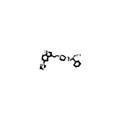 OC[C@H](NC[C@@H]1CCN(CCc2c[nH]c3ccc(-n4cncn4)cc23)C1)c1ccccc1